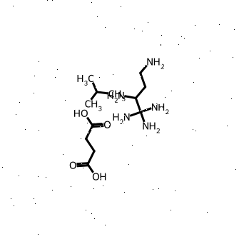 CC(C)C.NCCC(N)C(N)(N)N.O=C(O)CCC(=O)O